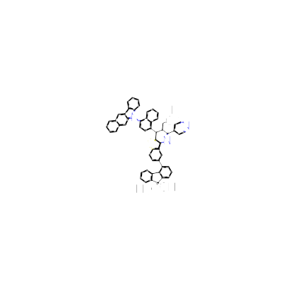 CCC1C(c2ccncc2)=Nc2c(sc3ccc(-c4cccc5c4-c4ccccc4C5(C)C)cc23)C1c1ccc(-n2c3ccccc3c3cc4ccccc4cc32)c2ccccc12